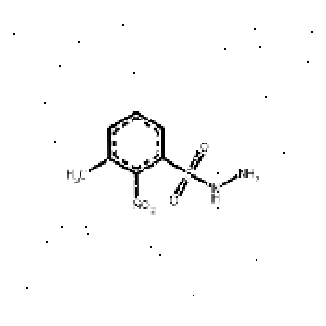 Cc1cccc(S(=O)(=O)NN)c1[N+](=O)[O-]